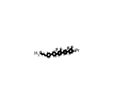 C=CCCC1CCC(C2CC=C(c3ccc(-c4ccc(-c5ccc(CCC)c(F)c5F)cc4)c(F)c3F)CC2)CC1